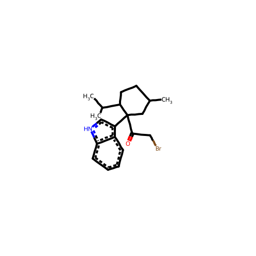 CC1CCC(C(C)C)C(C(=O)CBr)(c2c[nH]c3ccccc23)C1